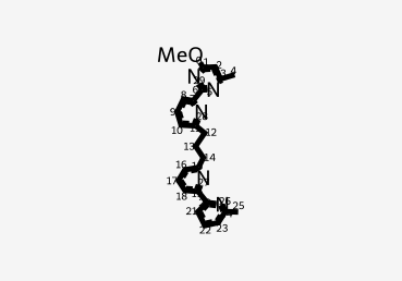 COc1cc(C)nc(-c2cccc(CCCc3cccc(-c4cccc(C)n4)n3)n2)n1